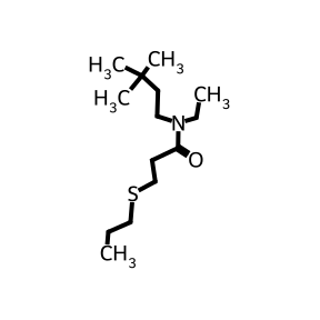 CCCSCCC(=O)N(CC)CCC(C)(C)C